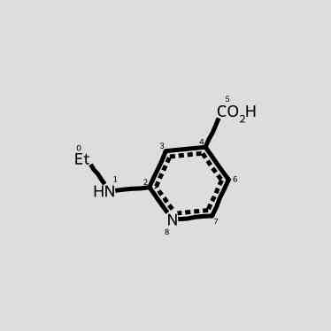 CCNc1cc(C(=O)O)ccn1